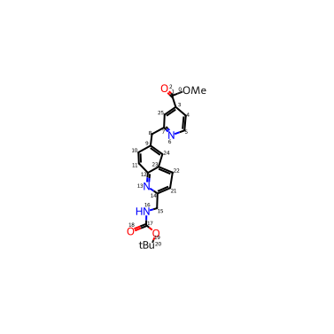 COC(=O)c1ccnc(Cc2ccc3nc(CNC(=O)OC(C)(C)C)ccc3c2)c1